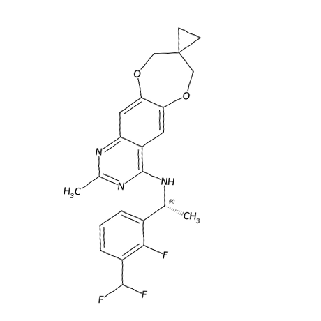 Cc1nc(N[C@H](C)c2cccc(C(F)F)c2F)c2cc3c(cc2n1)OCC1(CC1)CO3